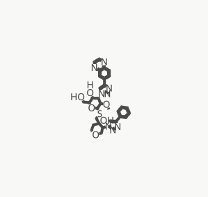 COC1C(SCC2(O)CCOCC2n2cc(-c3ccccc3)nn2)OC(CO)C(O)C1n1cc(-c2ccc3nccnc3c2)nn1